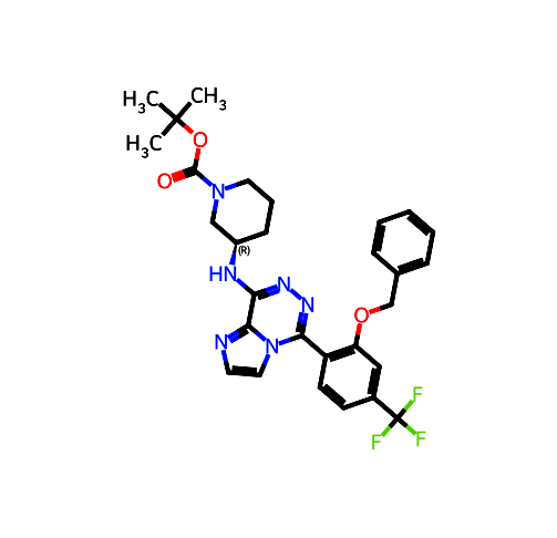 CC(C)(C)OC(=O)N1CCC[C@@H](Nc2nnc(-c3ccc(C(F)(F)F)cc3OCc3ccccc3)n3ccnc23)C1